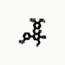 Cc1cccc(-c2cc(CF)c(C#N)c(=O)n2Cc2ccc(C)c(C)c2)c1